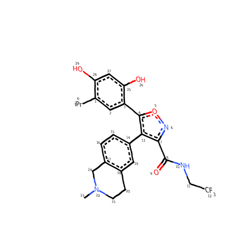 CC(C)c1cc(-c2onc(C(=O)NCC(F)(F)F)c2-c2ccc3c(c2)CCN(C)C3)c(O)cc1O